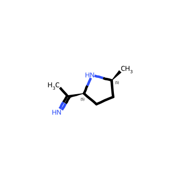 CC(=N)[C@@H]1CC[C@H](C)N1